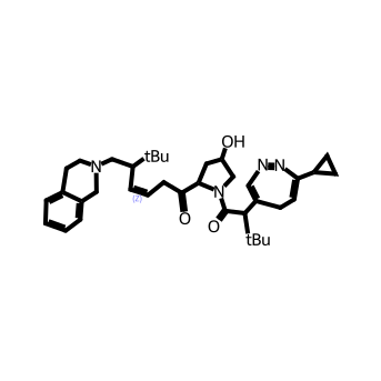 CC(C)(C)C(/C=C\CC(=O)C1CC(O)CN1C(=O)C(C1=CN=NC(C2CC2)=CC1)C(C)(C)C)CN1CCc2ccccc2C1